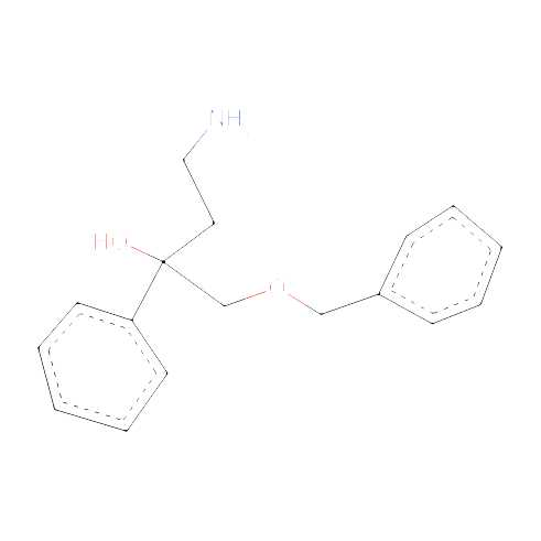 NCCC(O)(COCc1ccccc1)c1ccccc1